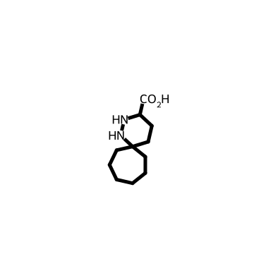 O=C(O)C1CCC2(CCCCCC2)NN1